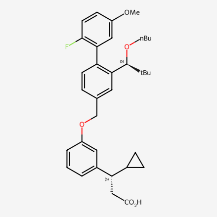 CCCCO[C@H](c1cc(COc2cccc([C@@H](CC(=O)O)C3CC3)c2)ccc1-c1cc(OC)ccc1F)C(C)(C)C